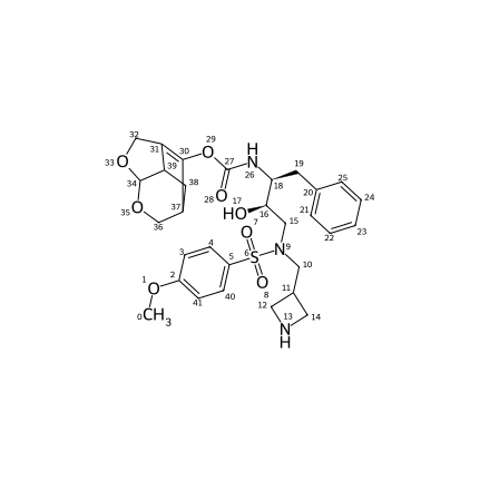 COc1ccc(S(=O)(=O)N(CC2CNC2)C[C@@H](O)[C@H](Cc2ccccc2)NC(=O)OC2=C3COC4OCC2CC34)cc1